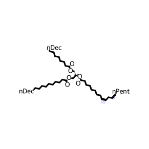 CCCCC/C=C\C/C=C\CCCCCCCC(=O)O[C@@H](COC(=O)CCCCCCCCCCCCCCCCC)COC(=O)CCCCCCCCCCCCCCCCCCC